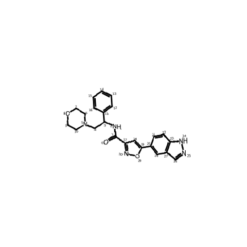 O=C(NC(CN1CCOCC1)c1ccccc1)c1cc(-c2ccc3[nH]ncc3c2)on1